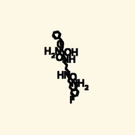 NC(CC(=O)NCCCCNC(=O)C(O)C(N)COCc1ccccc1)Cc1cc(F)ccc1F